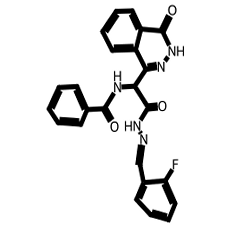 O=C(NC(C(=O)NN=Cc1ccccc1F)c1n[nH]c(=O)c2ccccc12)c1ccccc1